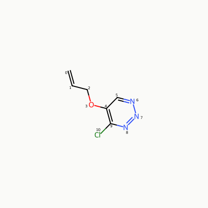 C=CCOc1cnnnc1Cl